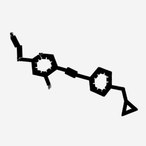 Fc1cc(N=C=S)ncc1C#Cc1ccc(CC2CC2)cc1